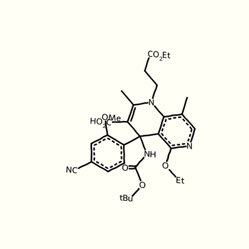 CCOC(=O)CCN1C(C)=C(C(=O)O)C(NC(=O)OC(C)(C)C)(c2ccc(C#N)cc2OC)c2c(OCC)ncc(C)c21